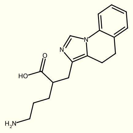 NCCCC(Cc1ncn2c1CCc1ccccc1-2)C(=O)O